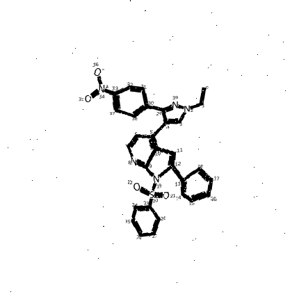 CCn1cc(-c2ccnc3c2cc(-c2c[c]ccc2)n3S(=O)(=O)c2ccccc2)c(-c2ccc([N+](=O)[O-])cc2)n1